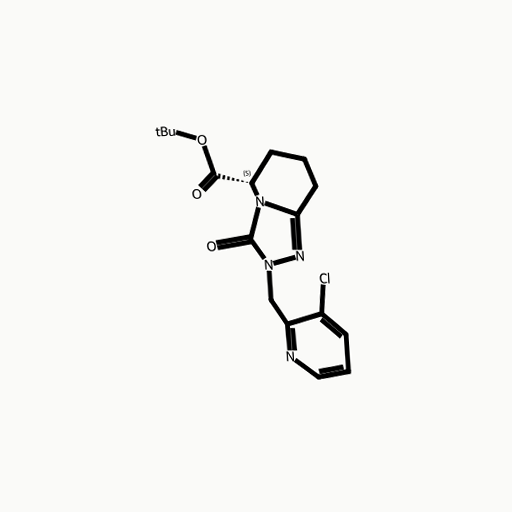 CC(C)(C)OC(=O)[C@@H]1CCCc2nn(Cc3ncccc3Cl)c(=O)n21